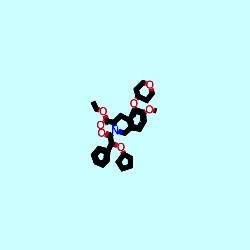 CCOC(=O)C1Cc2c(ccc(OC)c2OC2CCOCC2)CN1C(=O)C(OC1CCCC1)c1ccccc1